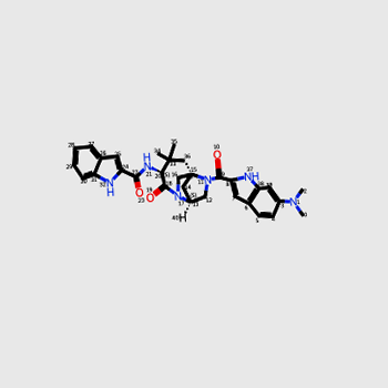 CN(C)c1ccc2cc(C(=O)N3C[C@@H]4C[C@@]35CN4C(=O)[C@@H](NC(=O)c3cc4ccccc4[nH]3)C(C)(C)C5)[nH]c2c1